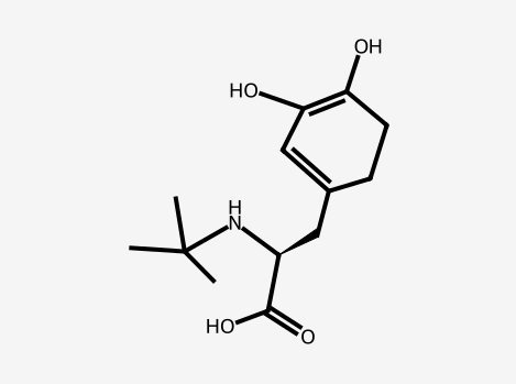 CC(C)(C)N[C@@H](CC1=CC(O)=C(O)CC1)C(=O)O